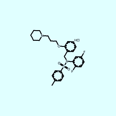 Cc1ccc(S(=O)(=O)N(Cc2ccccc2OCCCN2CCCCC2)c2cc(F)ccc2F)cc1.Cl